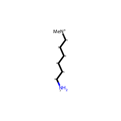 CNCCCCCCN